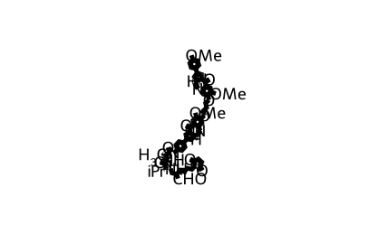 COc1ccc(C2=CN3C(=O)c4cc(OC)c(OCCCOc5cc6c(cc5OC)C(=O)N5C=C(c7ccc(NC(=O)[C@H](C)NC(=O)[C@@H](NCC(C=O)CCCCN8C(=O)C=CC8=O)C(C)C)cc7)C[C@H]5C=N6)cc4N=C[C@@H]3C2)cc1